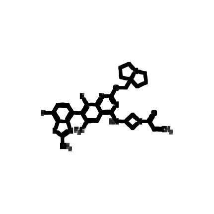 C=CC(=O)N1CC(Nc2nc(OCC34CCCN3CCC4)nc3c(F)c(-c4ccc(F)c5sc(N)nc45)c(C(F)(F)F)cc23)C1